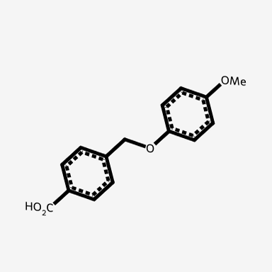 COc1ccc(OCc2ccc(C(=O)O)cc2)cc1